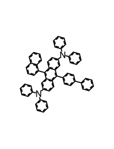 c1ccc(-c2ccc(-c3c4cc(N(c5ccccc5)c5ccccc5)ccc4c(-c4cccc5ccccc45)c4cc(N(c5ccccc5)c5ccccc5)ccc34)cc2)cc1